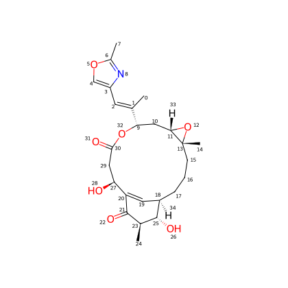 C/C(=C\c1coc(C)n1)[C@@H]1C[C@@H]2O[C@]2(C)CCC[C@@H]2C=C(C(=O)[C@H](C)[C@H]2O)[C@@H](O)CC(=O)O1